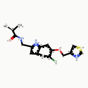 C[C@H](C#N)C(=O)NCc1cc2cc(Cl)c(OCc3cscn3)cc2[nH]1